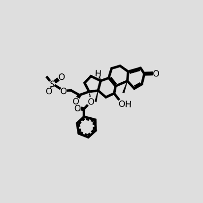 C[C@]12C=CC(=O)C=C1CCC1=C2C(O)C[C@@]2(C)[C@H]1CC[C@]2(OC(=O)c1ccccc1)C(=O)COS(C)(=O)=O